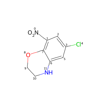 O=[N+]([O-])c1cc(Cl)cc2c1OCCN2